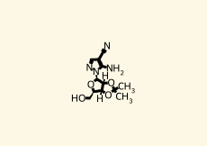 CC1(C)O[C@@H]2[C@H](O1)[C@@H](CO)O[C@H]2n1ncc(C#N)c1N